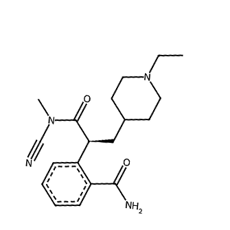 CCN1CCC(C[C@H](C(=O)N(C)C#N)c2ccccc2C(N)=O)CC1